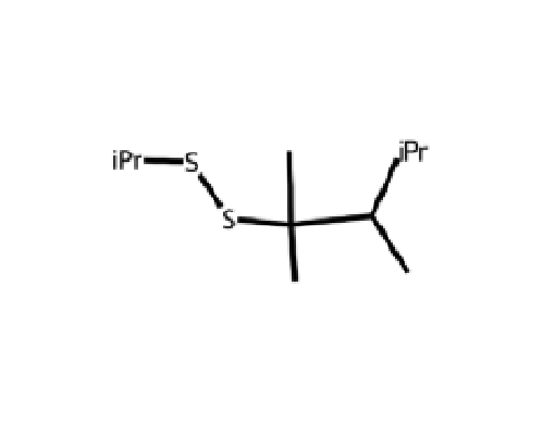 CC(C)SSC(C)(C)C(C)C(C)C